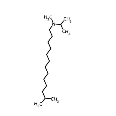 CC(C)CCCCCCCCCCCN(C)C(C)C